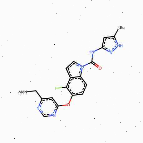 CNCc1cc(Oc2ccc3c(ccn3C(=O)Nc3cc(C(C)(C)C)[nH]n3)c2F)ncn1